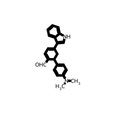 CN(C)c1ccc(C2CC(c3c[nH]c4ccccc34)=CC=C2C=O)cc1